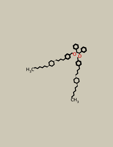 CCCCCCC[C@H]1CC[C@H](CCCCc2ccc(CO[C@H](c3ccccc3)[C@H](OCc3ccc(CCCC[C@H]4CC[C@H](CCCCCCC)CC4)cc3)c3ccccc3)cc2)CC1